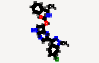 C[C@H](NC(=O)Oc1c[nH]c2ncc(-c3nn(C)c4cc(Cl)ccc34)nc12)c1ccccc1